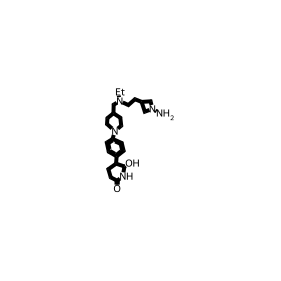 CCN(CCC1CN(N)C1)CC1CCN(c2ccc(C3CCC(=O)NC3O)cc2)CC1